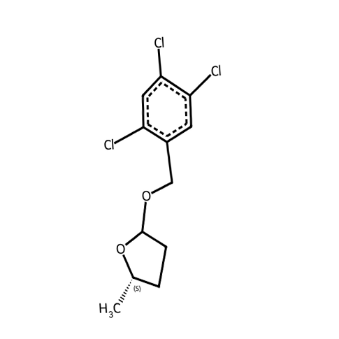 C[C@H]1CCC(OCc2cc(Cl)c(Cl)cc2Cl)O1